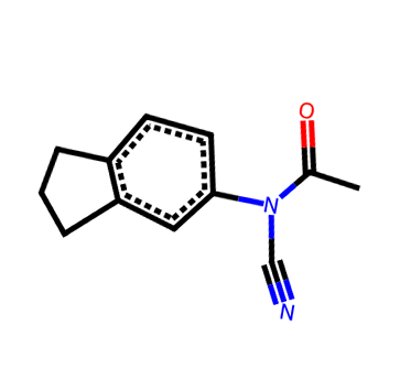 CC(=O)N(C#N)c1ccc2c(c1)CCC2